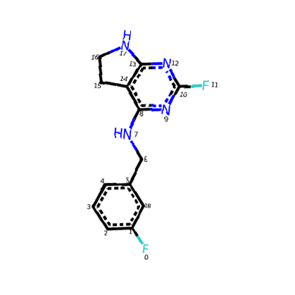 Fc1cccc(CNc2nc(F)nc3c2CCN3)c1